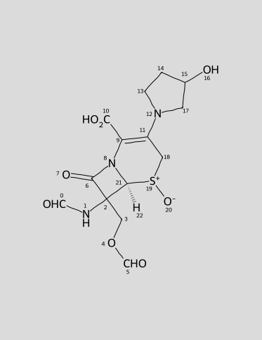 O=CNC1(COC=O)C(=O)N2C(C(=O)O)=C(N3CCC(O)C3)C[S+]([O-])[C@H]21